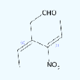 C/C=C(CC=O)\C(=C/C)[N+](=O)[O-]